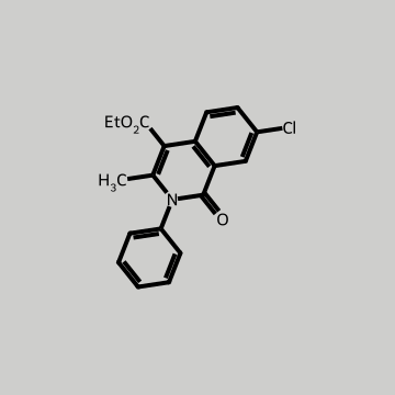 CCOC(=O)c1c(C)n(-c2ccccc2)c(=O)c2cc(Cl)ccc12